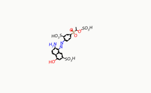 CC(OS(=O)(=O)O)S(=O)(=O)c1ccc(N=Nc2c(N)ccc3c(O)cc(S(=O)(=O)O)cc23)c(S(=O)(=O)O)c1